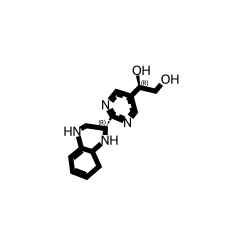 OC[C@H](O)c1cnc([C@H]2CNC3=CC=CCC3N2)nc1